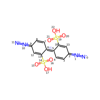 [N-]=[N+]=C1C=C/C(=C2/C=CC(=[N+]=[N-])C=C2S(=O)(=O)O)C(S(=O)(=O)O)=C1